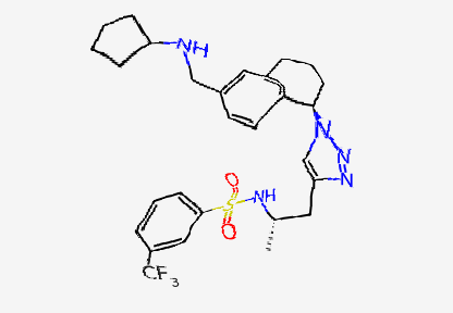 C[C@@H](Cc1cn([C@@H]2CCCc3cc(CNC4CCCC4)ccc32)nn1)NS(=O)(=O)c1cccc(C(F)(F)F)c1